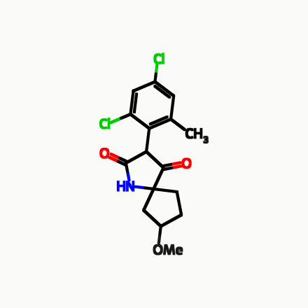 COC1CCC2(C1)NC(=O)C(c1c(C)cc(Cl)cc1Cl)C2=O